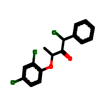 CC(Oc1ccc(Cl)cc1Cl)C(=O)C(Cl)c1ccccc1